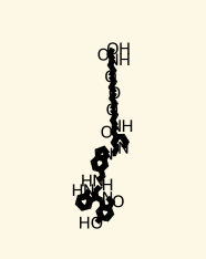 O=C(O)NCCOCCOCCOCCNC(=O)c1ccnc(Cn2ccc3ccc(CNCc4[nH]c5ccccc5c4C4NC(=O)c5ccc(O)cc54)cc32)c1